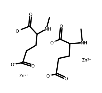 CNC(CCC(=O)[O-])C(=O)[O-].CNC(CCC(=O)[O-])C(=O)[O-].[Zn+2].[Zn+2]